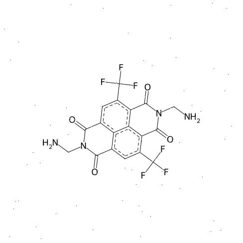 NCN1C(=O)c2cc(C(F)(F)F)c3c4c(c(C(F)(F)F)cc(c24)C1=O)C(=O)N(CN)C3=O